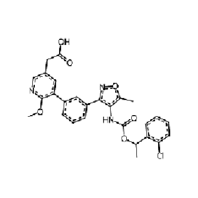 COc1ncc(CC(=O)O)cc1-c1cccc(-c2noc(C)c2NC(=O)OC(C)c2ccccc2Cl)c1